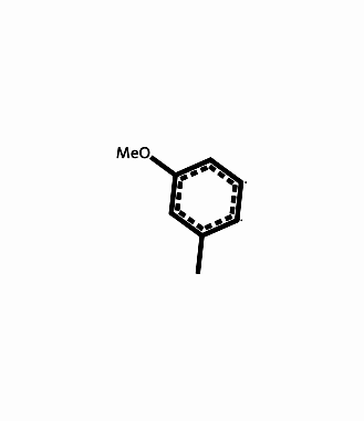 COc1c[c][c]c(C)c1